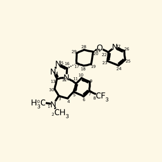 CN(C)C1Cc2cc(C(F)(F)F)ccc2-n2c(nnc2[C@H]2CC[C@H](Oc3ccccn3)CC2)C1